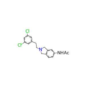 CC(=O)Nc1ccc2c(c1)CN(CCc1cc(Cl)cc(Cl)c1)C2